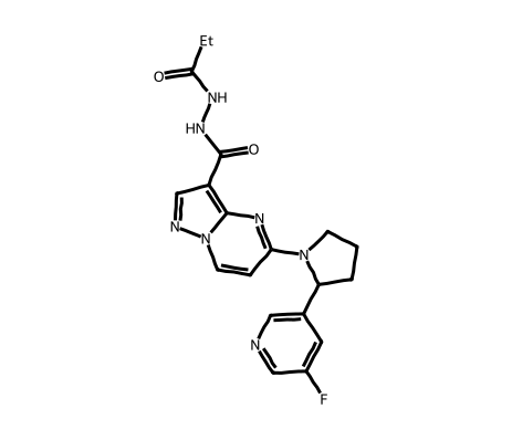 CCC(=O)NNC(=O)c1cnn2ccc(N3CCCC3c3cncc(F)c3)nc12